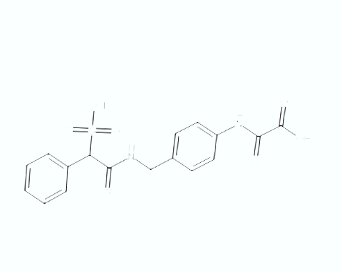 O=C(O)C(=O)Nc1ccc(CNC(=O)C(c2ccccc2)S(=O)(=O)O)cc1